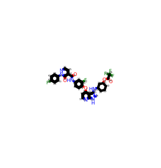 O=C(Nc1ccc(Oc2ccnc3[nH]nc(NC4CCCC(OC(=O)C(F)(F)F)C4)c23)c(F)c1)c1ccnn(-c2ccc(F)cc2)c1=O